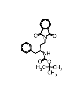 CC(C)(C)OC(=O)N[C@H](CCN1C(=O)c2ccccc2C1=O)Cc1ccccc1